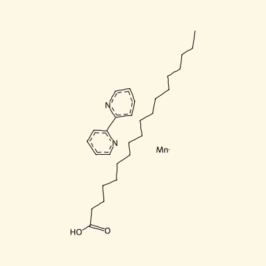 CCCCCCCCCCCCCCCCCC(=O)O.[Mn].c1ccc(-c2ccccn2)nc1